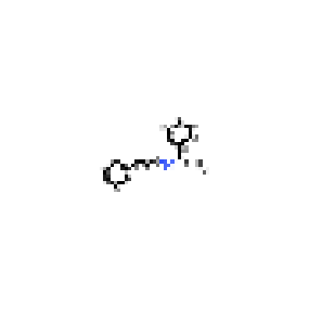 C[C@@H](/N=C/C=C/c1ccccc1)c1ccccc1